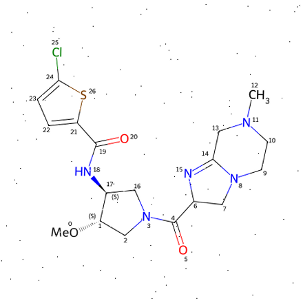 CO[C@H]1CN(C(=O)C2CN3CCN(C)CC3=N2)C[C@@H]1NC(=O)c1ccc(Cl)s1